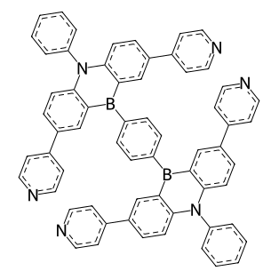 c1ccc(N2c3ccc(-c4ccncc4)cc3B(c3ccc(B4c5cc(-c6ccncc6)ccc5N(c5ccccc5)c5ccc(-c6ccncc6)cc54)cc3)c3cc(-c4ccncc4)ccc32)cc1